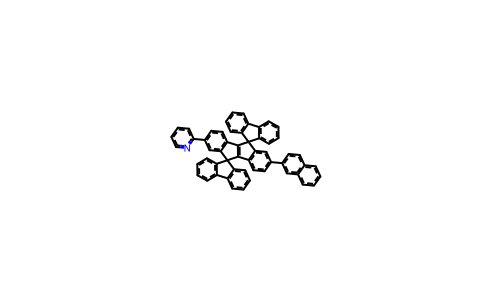 c1ccc(-c2ccc3c(c2)C2(C4=C3C3(c5cc(-c6ccc7ccccc7c6)ccc54)c4ccccc4-c4ccccc43)c3ccccc3-c3ccccc32)nc1